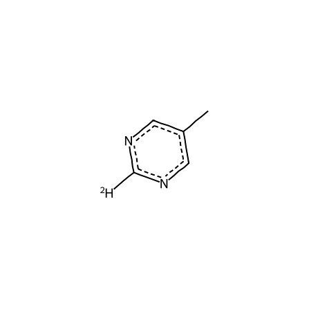 [2H]c1ncc(C)cn1